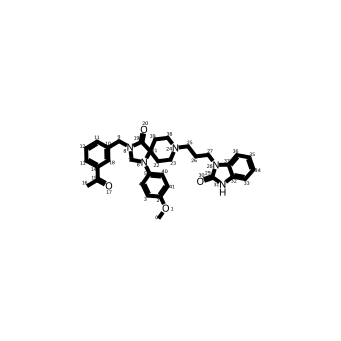 COc1ccc(N2CN(Cc3cccc(C(C)=O)c3)C(=O)C23CCN(CCCn2c(=O)[nH]c4ccccc42)CC3)cc1